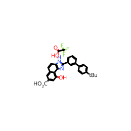 CC(C)(C)c1ccc(-c2cccc(-c3nc4c(ccc5cc(C(=O)O)cc(O)c54)[nH]3)c2)cc1.O=C(O)C(F)(F)F